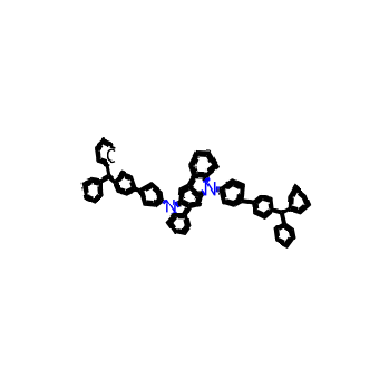 c1ccc(C(c2ccccc2)c2ccc(-c3ccc(-n4c5ccccc5c5cc6c(cc54)c4ccccc4n6-c4ccc(-c5ccc(C(c6ccccc6)c6ccccc6)cc5)cc4)cc3)cc2)cc1